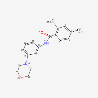 COc1cc(C(F)(F)F)ccc1C(=O)Nc1cccc(N2CCOCC2)c1